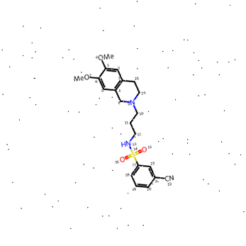 COc1cc2c(cc1OC)CN(CCCNS(=O)(=O)c1cccc(C#N)c1)CC2